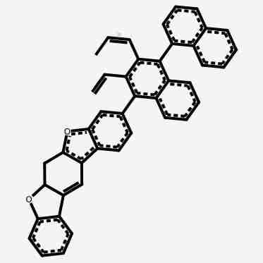 C=Cc1c(/C=C\C)c(-c2cccc3ccccc23)c2ccccc2c1-c1ccc2c3c(oc2c1)CC1Oc2ccccc2C1=C3